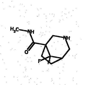 CNC(=O)C12CCC(CNC1)C2(F)F